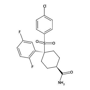 NC(=O)[C@H]1CC[C@@](c2cc(F)ccc2F)(S(=O)(=O)c2ccc(Cl)cc2)CC1